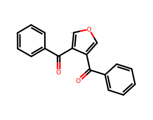 O=C(c1ccccc1)c1[c]occ1C(=O)c1ccccc1